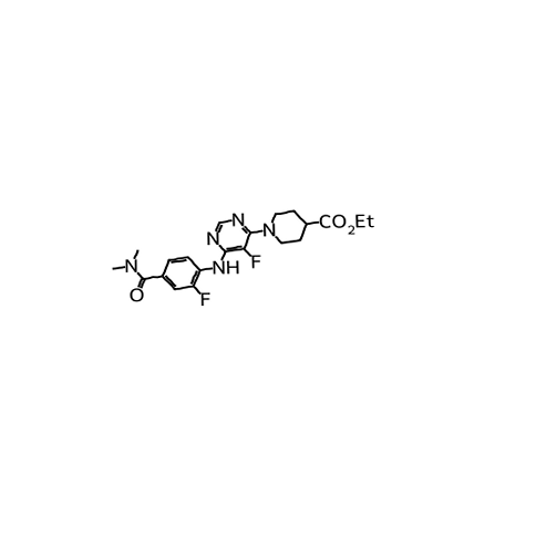 CCOC(=O)C1CCN(c2ncnc(Nc3ccc(C(=O)N(C)C)cc3F)c2F)CC1